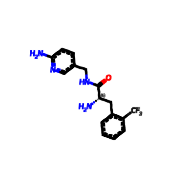 Nc1ccc(CNC(=O)[C@@H](N)Cc2ccccc2C(F)(F)F)cn1